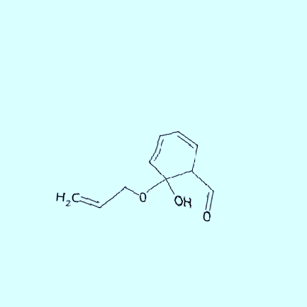 C=CCOC1(O)C=CC=CC1C=O